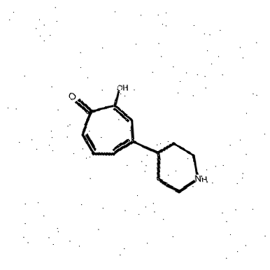 O=c1cccc(C2CCNCC2)cc1O